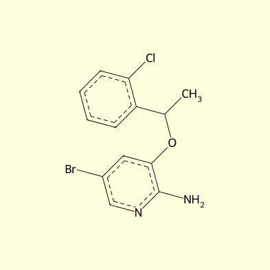 CC(Oc1cc(Br)cnc1N)c1ccccc1Cl